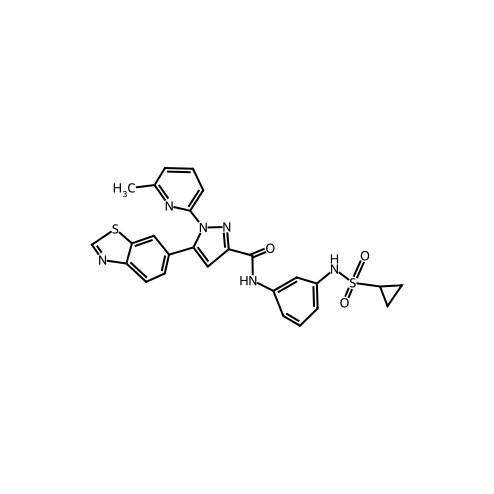 Cc1cccc(-n2nc(C(=O)Nc3cccc(NS(=O)(=O)C4CC4)c3)cc2-c2ccc3ncsc3c2)n1